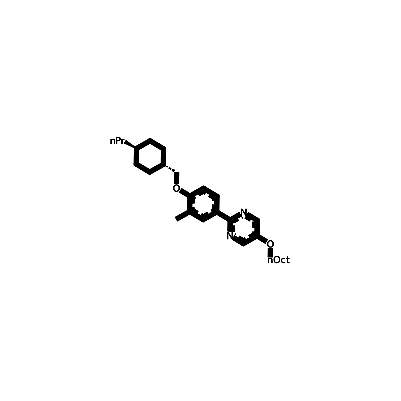 CCCCCCCCOc1cnc(-c2ccc(OC[C@H]3CC[C@H](CCC)CC3)c(C)c2)nc1